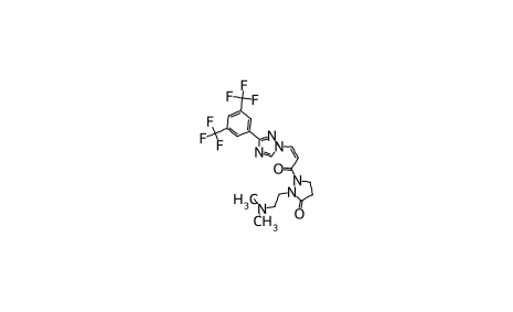 CN(C)CCN1C(=O)CCN1C(=O)/C=C\n1cnc(-c2cc(C(F)(F)F)cc(C(F)(F)F)c2)n1